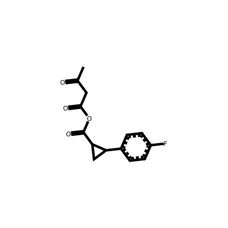 CC(=O)CC(=O)OC(=O)C1CC1c1ccc(F)cc1